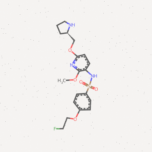 COc1nc(OC[C@H]2CCCN2)ccc1NS(=O)(=O)c1ccc(OCCF)cc1